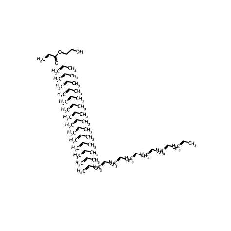 C=CC.C=CC.C=CC.C=CC.C=CC.C=CC.C=CC.C=CC.C=CC.C=CC.C=CC.C=CC.C=CC.C=CC.C=CC.C=CC.C=CC.C=CC.C=CC.C=CC.C=CC(=O)OCCO